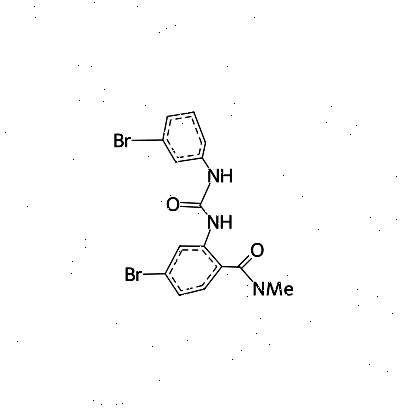 CNC(=O)c1ccc(Br)cc1NC(=O)Nc1cccc(Br)c1